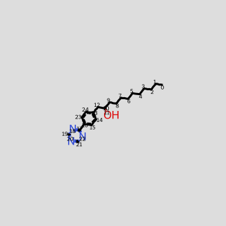 CCCCCCCCCCC(O)Cc1ccc(-c2ncncn2)cc1